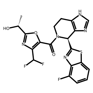 C[C@@H](O)c1nc(C(F)F)c(C(=O)N2CCc3[nH]cnc3[C@H]2c2nc3c(F)cccc3s2)o1